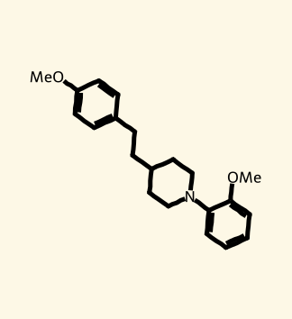 COc1ccc(CCC2CCN(c3ccccc3OC)CC2)cc1